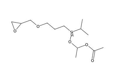 CC(=O)OC(C)O[SiH](CCCOCC1CO1)C(C)C